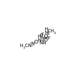 CCN1CCN(c2ccc(Nc3ncnc(Oc4cc(F)c5[nH]c(C)cc5c4F)c3NC=O)cc2)CC1